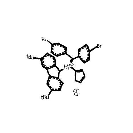 CC(C)(C)c1ccc2c(c1)-c1cc(C(C)(C)C)ccc1[CH]2[Hf+2]([C]1=CC=CC1)=[C](c1ccc(Br)cc1)c1ccc(Br)cc1.[Cl-].[Cl-]